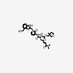 CC(C)Cc1cccc2[nH]c(Cn3cccc(NC(=O)[C@H](CC/C=C/C(=O)N(C)C)NC(=O)OCC4(C)CCOC4)c3=O)nc12